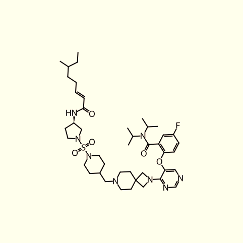 CCC(C)CC/C=C/C(=O)N[C@@H]1CCN(S(=O)(=O)N2CCC(CN3CCC4(CC3)CN(c3ncncc3Oc3ccc(F)cc3C(=O)N(C(C)C)C(C)C)C4)CC2)C1